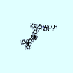 N#C/C(=C\c1ccc(N(c2ccccc2)c2ccc(-c3nnc(-c4ccc(N(c5ccccc5)c5ccccc5)cc4)o3)cc2)cc1)C(=O)O